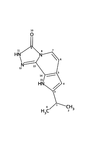 CC(C)c1cc2ccn3c(=O)[nH]nc3c2[nH]1